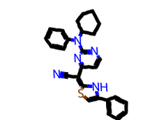 N#CC(=C1NC(c2ccccc2)=CS1)c1ccnc(N(c2ccccc2)C2CCCCC2)n1